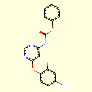 Nc1ccc(Oc2cc(NC(=O)Oc3ccccc3)ncn2)c(F)c1